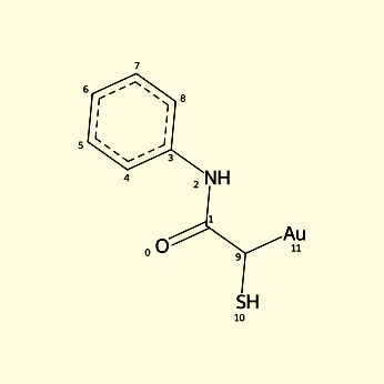 O=C(Nc1ccccc1)[CH](S)[Au]